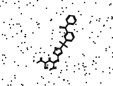 CNC(=N)NC(=Nc1cc(C(C)(C)c2cccc(C(=O)c3ccccc3)c2)no1)NC